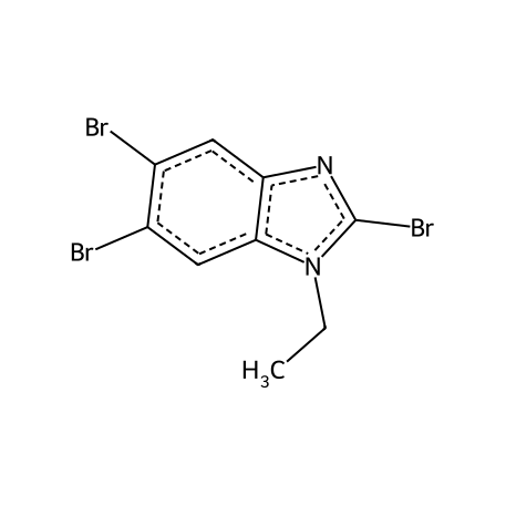 CCn1c(Br)nc2cc(Br)c(Br)cc21